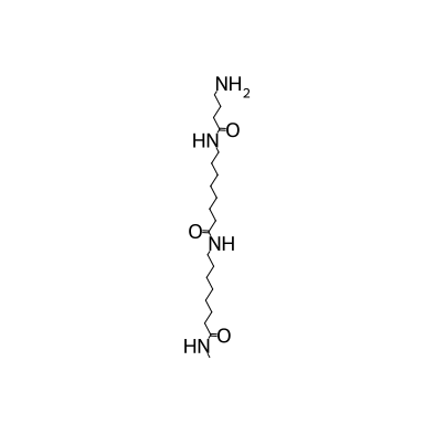 CNC(=O)CCCCCCCNC(=O)CCCCCCCNC(=O)CCCN